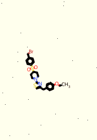 CCOc1ccc(Cc2csc(N3CCC(S(=O)(=O)c4ccc(CBr)cc4)CC3)n2)cc1